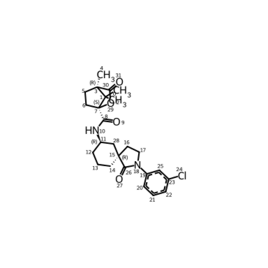 CC1(C)[C@@]2(C)CC[C@]1(C(=O)N[C@@H]1CCC[C@@]3(CCN(c4cccc(Cl)c4)C3=O)C1)OC2=O